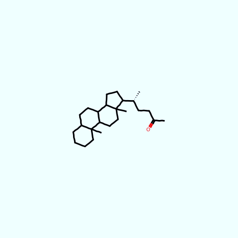 CC(=O)CC[C@@H](C)C1CCC2C3CCC4CCCCC4(C)C3CCC21C